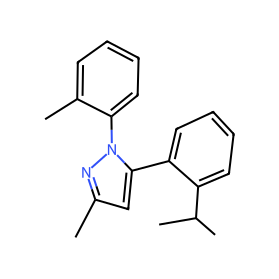 Cc1cc(-c2ccccc2C(C)C)n(-c2ccccc2C)n1